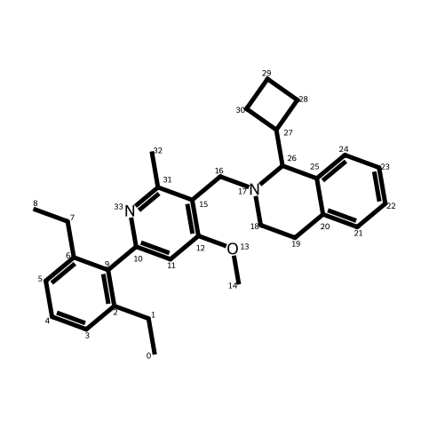 CCc1cccc(CC)c1-c1cc(OC)c(CN2CCc3ccccc3C2C2CCC2)c(C)n1